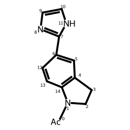 CC(=O)N1CCc2cc(-c3ncc[nH]3)ccc21